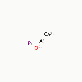 [Al].[Ca+2].[O-2].[P]